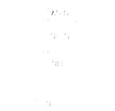 CNC(=O)c1c(-c2ccsc2)nc2c(C(=O)NCc3ccc4ncsc4c3)cccn12